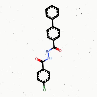 O=C(NNC(=O)c1ccc(-c2ccccc2)cc1)c1ccc(Cl)cc1